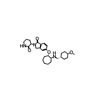 CO[C@H]1CC[C@H](CN[C@H]2CCCCC[C@@H]2Oc2ccc3c(c2)CN(C2CCCNC2=O)C3=O)CC1